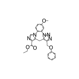 CCOC(=O)c1ncn2c1Cc1c(COc3ccccc3)nnn1-c1cc(OC)ccc1-2